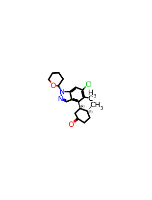 Cc1c(Cl)cc2c(cnn2C2CCCCO2)c1[C@@H]1CC(=O)CC[C@H]1C